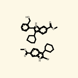 COC(=O)c1ccc2c(C3CCCCC3)c(-c3ccccc3CO)[nH]c2c1.COC(=O)c1ccc2c(C3CCCCC3)c(Br)[nH]c2c1